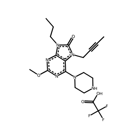 CC#CCn1c(=O)n(CCC)c2nc(OC)nc(N3CCNCC3)c21.O=C(O)C(F)(F)F